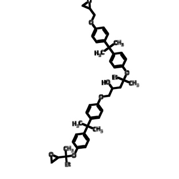 CCC(C)(CC(O)COc1ccc(C(C)(C)c2ccc(OC(C)(CC)C3CO3)cc2)cc1)Oc1ccc(C(C)(C)c2ccc(OCC3CO3)cc2)cc1